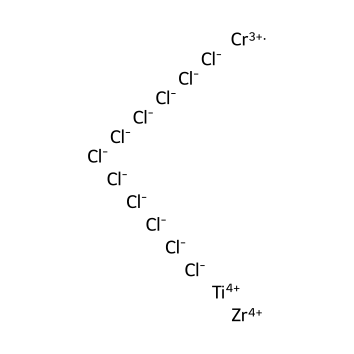 [Cl-].[Cl-].[Cl-].[Cl-].[Cl-].[Cl-].[Cl-].[Cl-].[Cl-].[Cl-].[Cl-].[Cr+3].[Ti+4].[Zr+4]